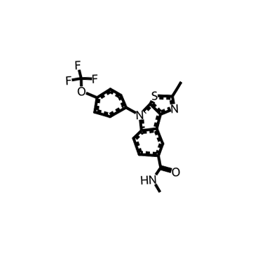 CNC(=O)c1ccc2c(c1)c1nc(C)sc1n2-c1ccc(OC(F)(F)F)cc1